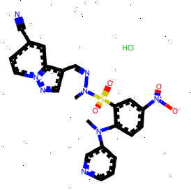 CN(c1cccnc1)c1ccc([N+](=O)[O-])cc1S(=O)(=O)N(C)/N=C\c1cnn2ccc(C#N)cc12.Cl